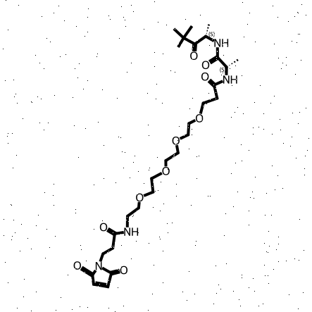 C[C@H](NC(=O)CCOCCOCCOCCOCCNC(=O)CCN1C(=O)C=CC1=O)C(=O)N[C@@H](C)C(=O)C(C)(C)C